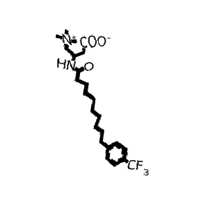 C[N+](C)(C)CC(CC(=O)[O-])NC(=O)CCCCCCCCCc1ccc(C(F)(F)F)cc1